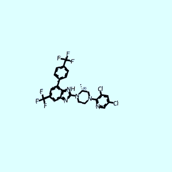 C[C@@H]1CN(c2ncc(Cl)cc2Cl)CCN1c1nc2cc(C(F)(F)F)cc(-c3ccc(C(F)(F)F)cc3)c2[nH]1